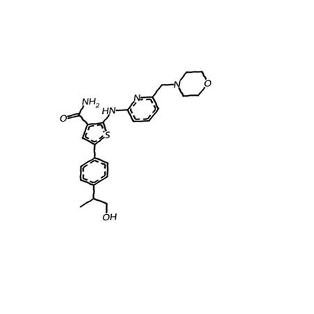 CC(CO)c1ccc(-c2cc(C(N)=O)c(Nc3cccc(CN4CCOCC4)n3)s2)cc1